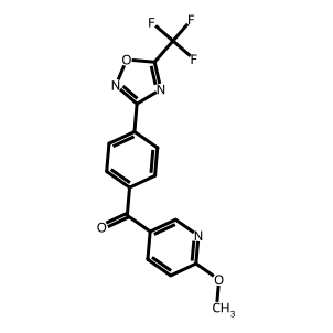 COc1ccc(C(=O)c2ccc(-c3noc(C(F)(F)F)n3)cc2)cn1